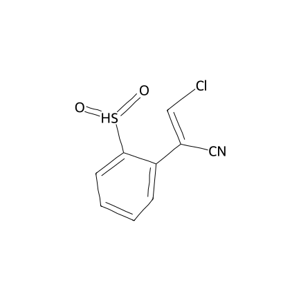 N#CC(=CCl)c1ccccc1[SH](=O)=O